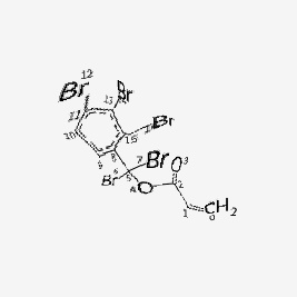 C=CC(=O)OC(Br)(Br)c1ccc(Br)c(Br)c1Br